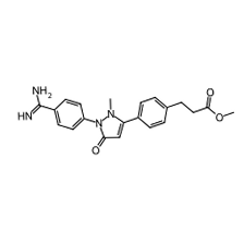 COC(=O)CCc1ccc(-c2cc(=O)n(-c3ccc(C(=N)N)cc3)n2C)cc1